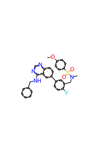 COc1ccc(S(=O)(=O)N(C)Cc2cc(-c3ccc4ncnc(NCc5ccccc5)c4c3)ccc2F)cc1